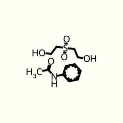 CC(=O)Nc1ccccc1.O=S(=O)(CCO)CCO